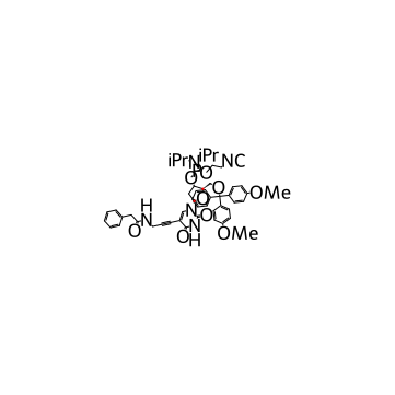 [C-]#[N+]CCOP(O[C@@H]1C[C@H](n2cc(C#CCNC(=O)Cc3ccccc3)c(=O)[nH]c2=O)O[C@@H]1COC(c1ccccc1)(c1ccc(OC)cc1)c1ccc(OC)cc1)N(C(C)C)C(C)C